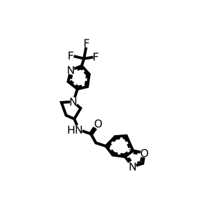 O=C(Cc1ccc2ocnc2c1)NC1CCN(c2ccc(C(F)(F)F)nc2)C1